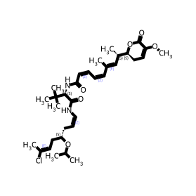 COC1=CC[C@@H]([C@@H](C)/C=C(C)/C=C\C=C/C(=O)N[C@H](C(=O)N/C=C\C[C@@H](C/C=C(\C)Cl)OC(C)C)C(C)(C)C)OC1=O